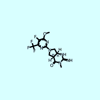 COc1nc(N2C[C@@H]3NC(=N)N(C)C(=O)[C@@H]3C2)nc(C(F)(F)F)c1F